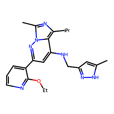 CCOc1ncccc1-c1cc(NCc2cc(C)[nH]n2)c2c(C(C)C)nc(C)n2n1